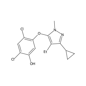 CCc1c(C2CC2)nn(C)c1Oc1cc(O)c(Cl)cc1Cl